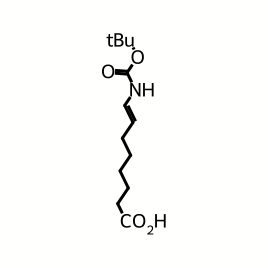 CC(C)(C)OC(=O)NC=CCCCCCC(=O)O